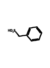 O=S(=O)(O)[CH]c1ccccc1